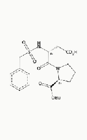 CC(C)COC(=O)[C@@H]1CCCN1C(=O)[C@@H](CC(=O)O)NS(=O)(=O)Cc1ccccc1